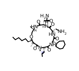 C/C=C/[C@H]1C(=O)N[C@@H](C2CCCCCC2)C(=O)N[C@@H](CN)C(=O)N[C@@H](CC(N)=O)C(=O)N[C@H](C)CO[C@H](CCCCCC)[C@@H](C)C(=O)N1C